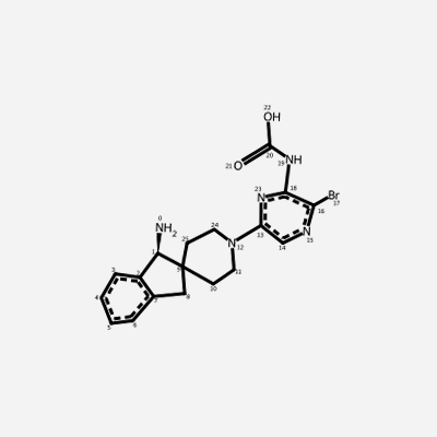 N[C@@H]1c2ccccc2CC12CCN(c1cnc(Br)c(NC(=O)O)n1)CC2